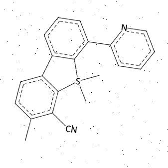 Cc1ccc2c(c1C#N)S(C)(C)c1c(-c3ccccn3)cccc1-2